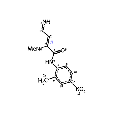 CN/C(=C\C=N)C(=O)Nc1ccc([N+](=O)[O-])cc1C